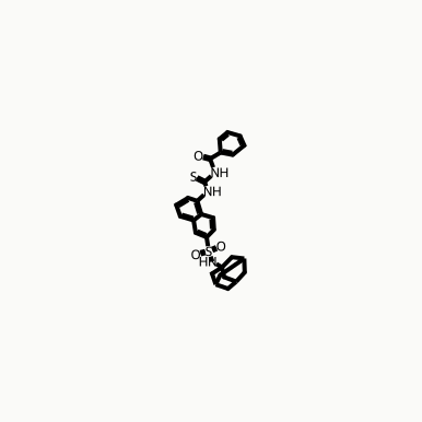 O=C(NC(=S)Nc1cccc2cc(S(=O)(=O)NC34CC5CC(CC(C5)C3)C4)ccc12)c1ccccc1